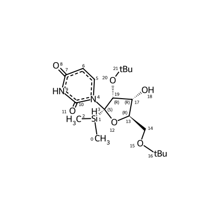 C[SiH](C)[C@@]1(n2ccc(=O)[nH]c2=O)O[C@H](COC(C)(C)C)[C@@H](O)[C@H]1OC(C)(C)C